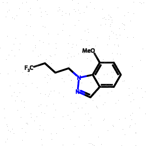 COc1cccc2cnn(CCCC(F)(F)F)c12